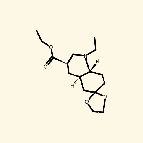 CCOC(=O)[C@@H]1C[C@@H]2CC3(CC[C@H]2N(CC)C1)OCCO3